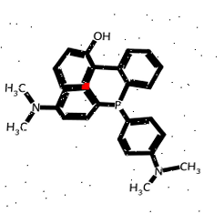 CN(C)c1ccc(P(c2ccc(N(C)C)cc2)c2ccccc2-c2ccccc2O)cc1